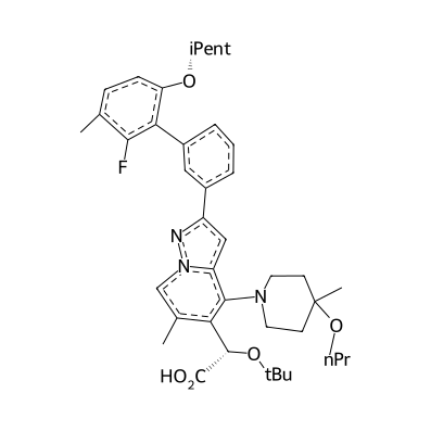 CCCOC1(C)CCN(c2c([C@H](OC(C)(C)C)C(=O)O)c(C)cn3nc(-c4cccc(-c5c(O[C@@H](C)CCC)ccc(C)c5F)c4)cc23)CC1